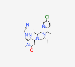 CC[C@H]1CN(C(C)c2ccc(Cl)cn2)[C@H](CC)CN1c1cc(=O)n(C)c2cn(CC#N)nc12